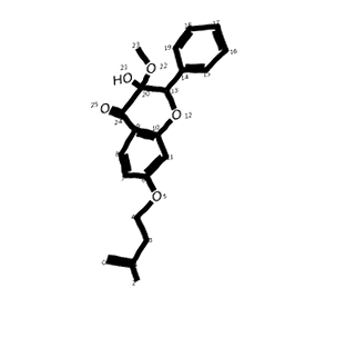 C=C(C)CCOc1ccc2c(c1)OC(c1ccccc1)C(O)(OC)C2=O